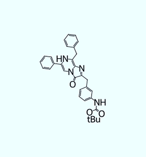 CC(C)(C)OC(=O)Nc1cccc(Cc2nc3c(Cc4ccccc4)[nH]c(-c4ccccc4)cn-3c2=O)c1